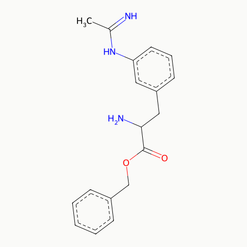 CC(=N)Nc1cccc(CC(N)C(=O)OCc2ccccc2)c1